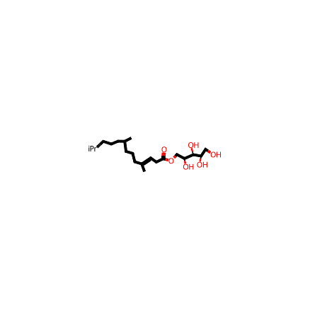 CC(=CCC(=O)OC[C@H](O)[C@@H](O)[C@H](O)CO)CCCC(C)CCCC(C)C